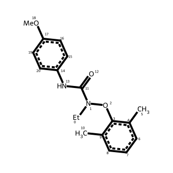 CCN(Oc1c(C)cccc1C)C(=O)Nc1ccc(OC)cc1